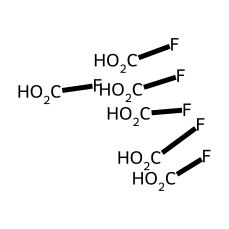 O=C(O)F.O=C(O)F.O=C(O)F.O=C(O)F.O=C(O)F.O=C(O)F